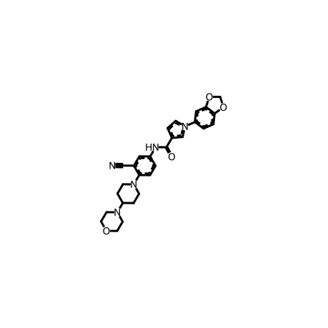 N#Cc1cc(NC(=O)c2ccn(-c3ccc4c(c3)OCO4)c2)ccc1N1CCC(N2CCOCC2)CC1